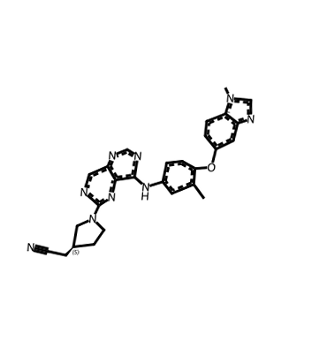 Cc1cc(Nc2ncnc3cnc(N4CC[C@@H](CC#N)C4)nc23)ccc1Oc1ccc2c(c1)ncn2C